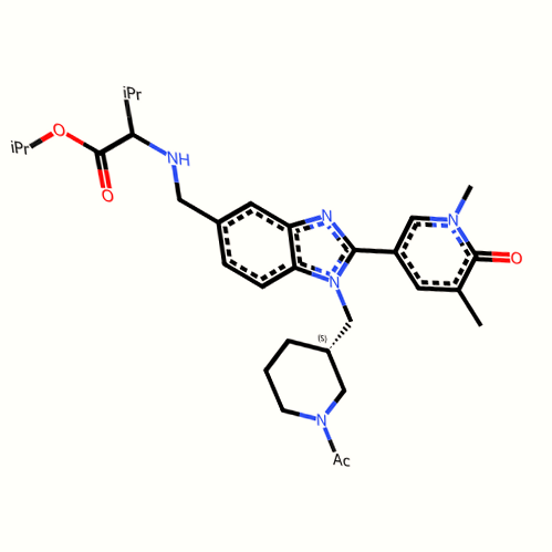 CC(=O)N1CCC[C@H](Cn2c(-c3cc(C)c(=O)n(C)c3)nc3cc(CNC(C(=O)OC(C)C)C(C)C)ccc32)C1